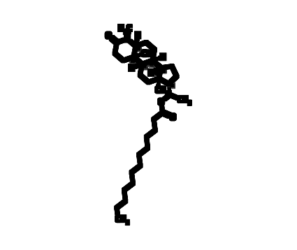 CCCCCCCCCCCCC(=O)OC(C)[C@H]1CC[C@H]2[C@@H]3CC[C@H]4N(C)C(=O)CC[C@]4(C)[C@H]3CC[C@]12C